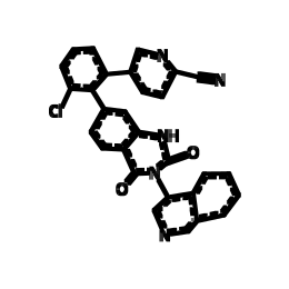 N#Cc1ccc(-c2cccc(Cl)c2-c2ccc3c(=O)n(-c4cncc5ccccc45)c(=O)[nH]c3c2)cn1